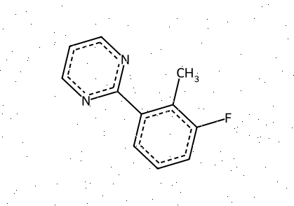 Cc1c(F)cccc1-c1ncccn1